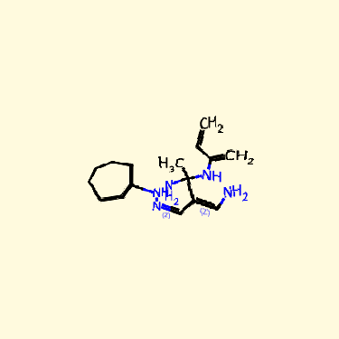 C=CC(=C)NC(C)(N)C(/C=N\NC1CCCCCC1)=C\N